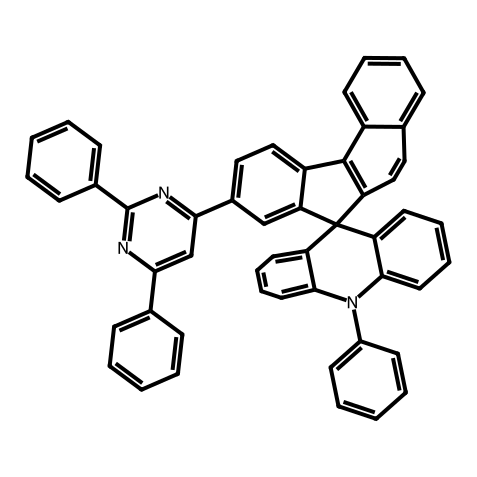 c1ccc(-c2cc(-c3ccc4c(c3)C3(c5ccccc5N(c5ccccc5)c5ccccc53)c3ccc5ccccc5c3-4)nc(-c3ccccc3)n2)cc1